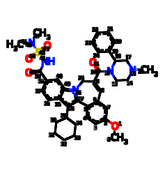 COc1ccc2c(c1)C=C(C(=O)N1CCN(C)CC1c1ccccc1)Cn1c-2c(C2CCCCC2)c2ccc(C(=O)NS(=O)(=O)N(C)C)cc21